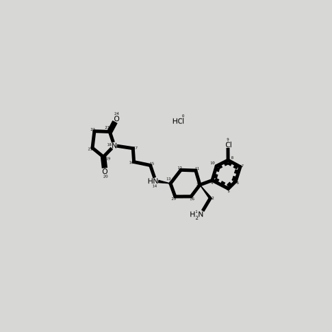 Cl.NC[C@]1(c2cccc(Cl)c2)CC[C@H](NCCCN2C(=O)CCC2=O)CC1